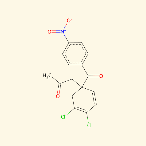 CC(=O)CC1(C(=O)c2ccc([N+](=O)[O-])cc2)C=CC(Cl)=C(Cl)C1